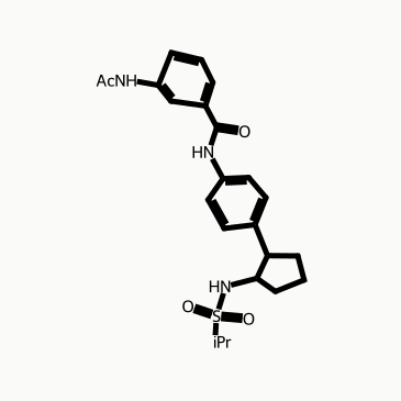 CC(=O)Nc1cccc(C(=O)Nc2ccc(C3CCCC3NS(=O)(=O)C(C)C)cc2)c1